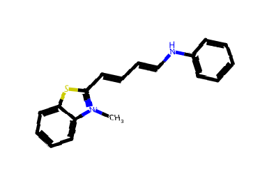 C[n+]1c(C=CC=CNc2ccccc2)sc2ccccc21